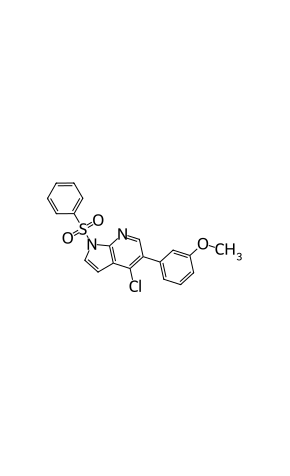 COc1cccc(-c2cnc3c(ccn3S(=O)(=O)c3ccccc3)c2Cl)c1